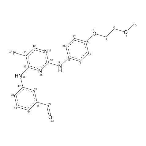 COCCOc1ccc(Nc2ncc(F)c(Nc3cccc(C=O)c3)n2)cc1